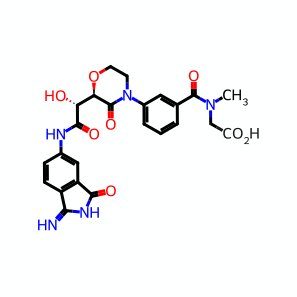 CN(CC(=O)O)C(=O)c1cccc(N2CCO[C@H]([C@@H](O)C(=O)Nc3ccc4c(c3)C(=O)NC4=N)C2=O)c1